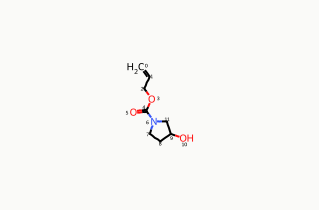 C=CCOC(=O)N1CCC(O)C1